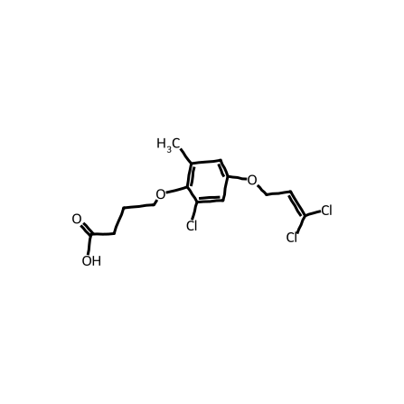 Cc1cc(OCC=C(Cl)Cl)cc(Cl)c1OCCCC(=O)O